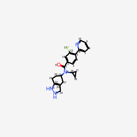 O=C(c1ccc(-c2ccccn2)c(F)c1)N(C1CC1)C1CCC2=C(CNN2)C1